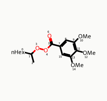 CCCCCC[C](C)OOC(=O)c1cc(OC)c(OC)c(OC)c1